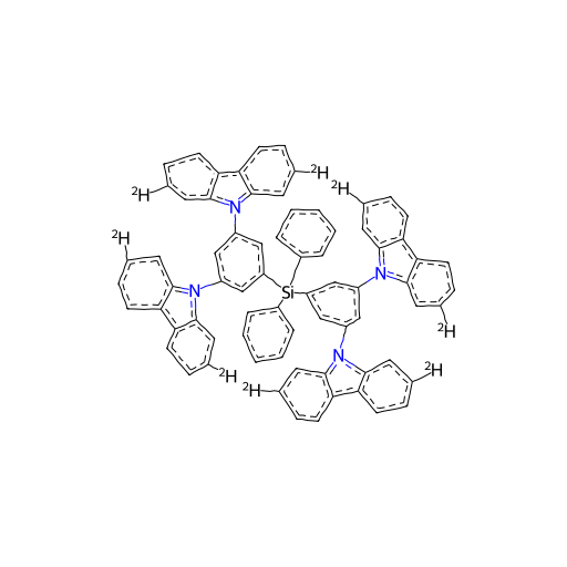 [2H]c1ccc2c3ccc([2H])cc3n(-c3cc(-n4c5cc([2H])ccc5c5ccc([2H])cc54)cc([Si](c4ccccc4)(c4ccccc4)c4cc(-n5c6cc([2H])ccc6c6ccc([2H])cc65)cc(-n5c6cc([2H])ccc6c6ccc([2H])cc65)c4)c3)c2c1